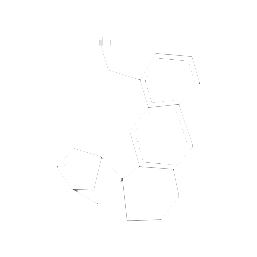 CC(C)Cc1cccc2cc3c(cc12)C1(CCC3)CC2C=CC1C2